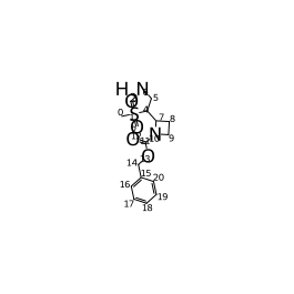 CS(=O)(=O)C(CN)C1CCN1C(=O)OCc1ccccc1